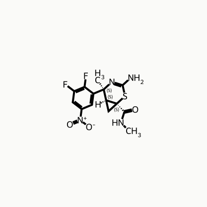 CNC(=O)[C@]12C[C@H]1[C@@](C)(c1cc([N+](=O)[O-])cc(F)c1F)N=C(N)S2